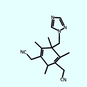 CC1=C(CC#N)C(C)C(CC#N)=C(C)C1(C)Cn1cncn1